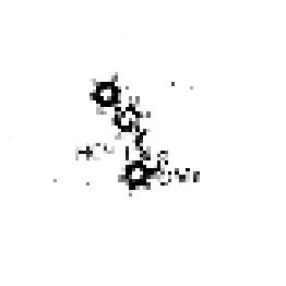 COC(=O)c1ccccc1NCCN1CCN(c2ccccc2)CC1.Cl